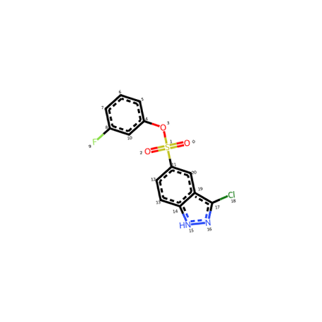 O=S(=O)(Oc1cccc(F)c1)c1ccc2[nH]nc(Cl)c2c1